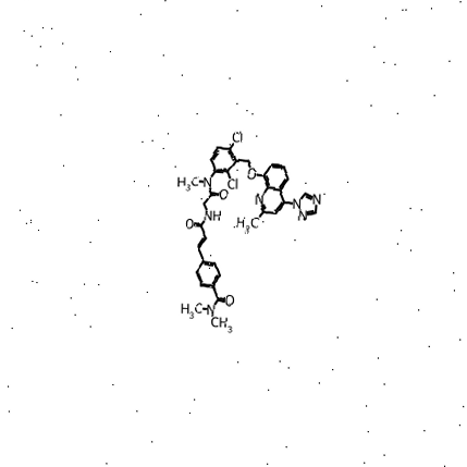 Cc1cc(-n2cncn2)c2cccc(OCc3c(Cl)ccc(N(C)C(=O)CNC(=O)/C=C/c4ccc(C(=O)N(C)C)cc4)c3Cl)c2n1